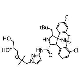 CC(C)(C)C[C@@H]1N[C@@H](C(=O)Nc2ccn(CC(C)(C)OC[C@@H](O)CO)n2)[C@H](c2cccc(Cl)c2F)[C@@]1(N)c1ccc(Cl)cc1F